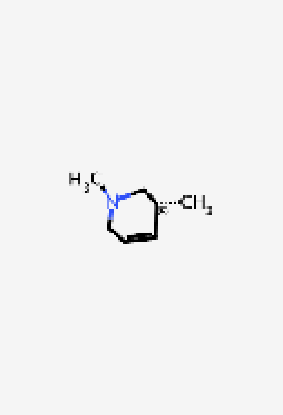 C[C@@H]1C=CCN(C)C1